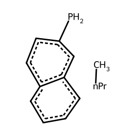 CCCC.Pc1ccc2ccccc2c1